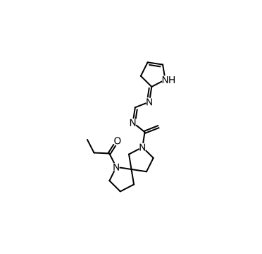 C=C(/N=C\N=C1/CC=CN1)N1CCC2(CCCN2C(=O)CC)C1